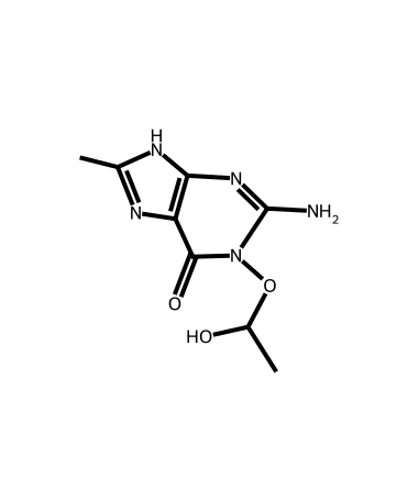 Cc1nc2c(=O)n(OC(C)O)c(N)nc2[nH]1